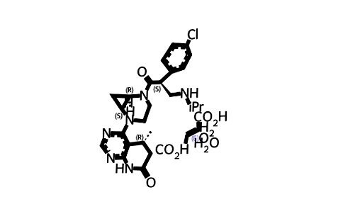 CC(C)NC[C@@H](C(=O)N1CCN(c2ncnc3c2[C@H](C)CC(=O)N3)[C@H]2C[C@H]21)c1ccc(Cl)cc1.O.O.O=C(O)/C=C/C(=O)O